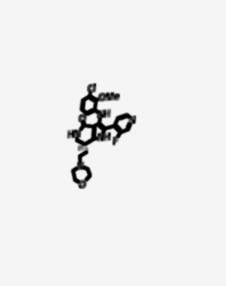 COc1c(Cl)cccc1Nc1c(-c2ccncc2F)[nH]c2c1C(=O)NC[C@H]2CCN1CCOCC1